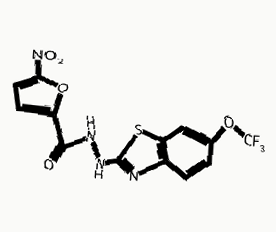 O=C(NNc1nc2ccc(OC(F)(F)F)cc2s1)c1ccc([N+](=O)[O-])o1